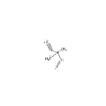 C#CC(C)(C)[S+]=O